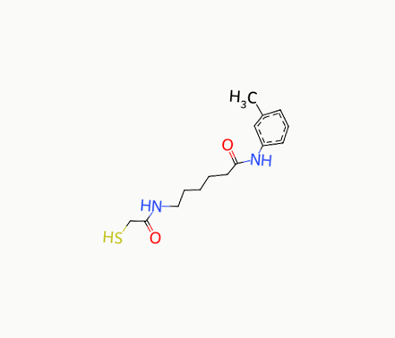 Cc1cccc(NC(=O)CCCCCNC(=O)CS)c1